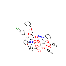 CC(=O)OCC1OC(OC2C(COCc3ccccc3)OC(Sc3ccc(Cl)cc3)C(Nc3ccccc3)C2OCc2ccccc2)C(Nc2ccccc2)C(OC(C)=O)C1OC(C)=O